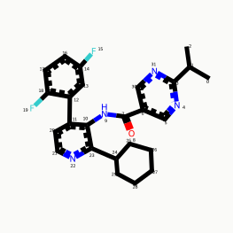 CC(C)c1ncc(C(=O)Nc2c(-c3cc(F)ccc3F)ccnc2C2CCCCC2)cn1